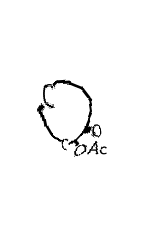 CC(=O)OC1CCCCCCCCCCC1=O